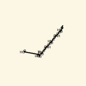 CCC1=CC=C(CNC(=O)COCCOCCNC(=O)COCCOCCNC(=O)COCCOCCNC(=O)COCCOCCNC(=O)CC[C@H](NC(=O)CCCCCCCCCCCCCCCCC(=O)O)C(=O)O)CC1